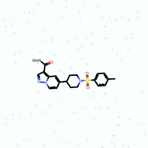 CNC(=O)c1cnn2ccc(C3CCN(S(=O)(=O)c4ccc(C)cc4)CC3)cc12